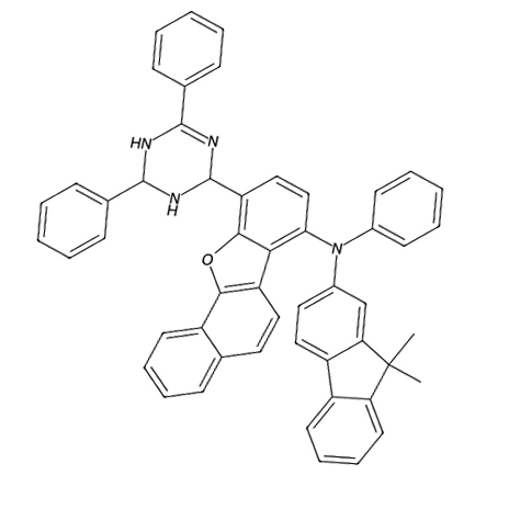 CC1(C)c2ccccc2-c2ccc(N(c3ccccc3)c3ccc(C4N=C(c5ccccc5)NC(c5ccccc5)N4)c4oc5c6ccccc6ccc5c34)cc21